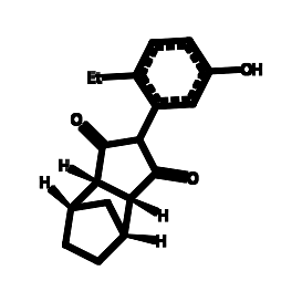 CCc1ccc(O)cc1C1C(=O)[C@@H]2[C@@H]3CC[C@@H](C3)[C@@H]2C1=O